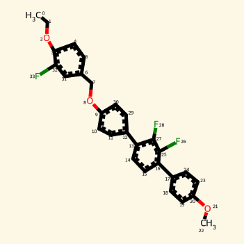 CCOc1ccc(COc2ccc(-c3ccc(-c4ccc(OC)cc4)c(F)c3F)cc2)cc1F